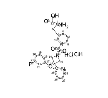 Cl.Cl.N[C@@H](Cc1cccc(S(=O)(=O)N2CC(Oc3cccc(F)c3)(c3ccccn3)C2)c1)C(=O)O